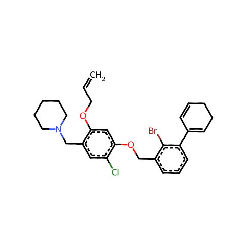 C=CCOc1cc(OCc2cccc(C3=CCCC=C3)c2Br)c(Cl)cc1CN1CCCCC1